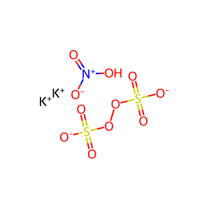 O=S(=O)([O-])OOS(=O)(=O)[O-].O=[N+]([O-])O.[K+].[K+]